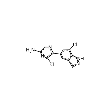 Nc1cnc(-c2cc(Cl)c3[nH]ncc3c2)c(Cl)n1